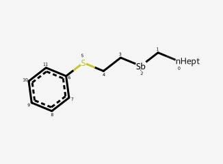 CCCCCCC[CH2][Sb][CH2]CSc1ccccc1